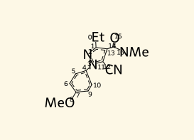 CCc1nn(-c2ccc(OC)cc2)c(C#N)c1C(=O)NC